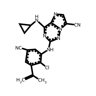 C=C(C)c1cc(C#N)cc(Nc2nc(NC3CC3)c3ncc(C#N)n3n2)c1Cl